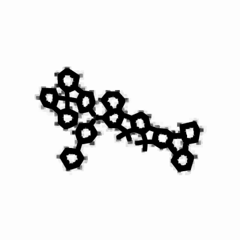 CC1(C)c2cc3c4ccccc4c4ccccc4c3cc2-c2ccc3c(c21)C(C)(C)c1cc(N(c2ccc(-c4ccccc4)cc2)c2ccc4c(c2)C2(c5ccccc5-c5ccccc52)c2ccccc2-4)c2ccccc2c1-3